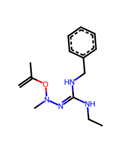 C=C(C)ON(C)/N=C(/NCC)NCc1ccccc1